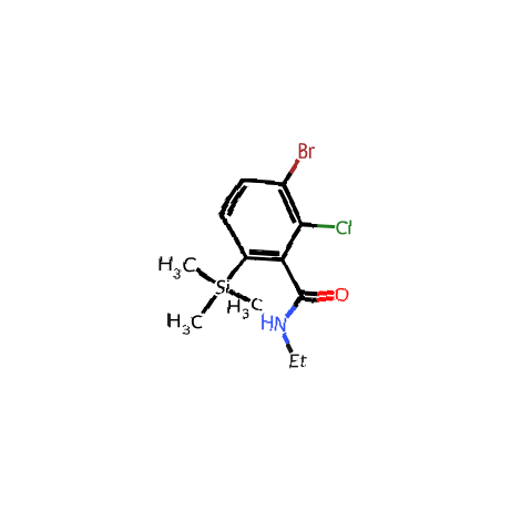 CCNC(=O)c1c([Si](C)(C)C)ccc(Br)c1Cl